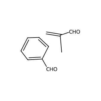 C=C(C)C=O.O=Cc1ccccc1